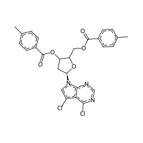 Cc1ccc(C(=O)OCC2O[C@@H](n3cc(Cl)c4c(Cl)ncnc43)CC2OC(=O)c2ccc(C)cc2)cc1